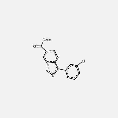 COC(=O)c1ccc2c(c1)nnn2-c1cccc(Cl)c1